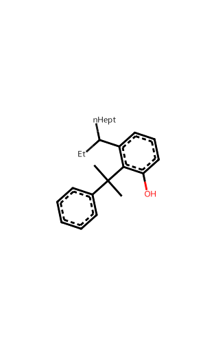 CCCCCCCC(CC)c1cccc(O)c1C(C)(C)c1ccccc1